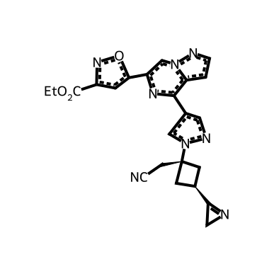 CCOC(=O)c1cc(-c2cn3nccc3c(-c3cnn([C@]4(CC#N)C[C@@H](C5=NC5)C4)c3)n2)on1